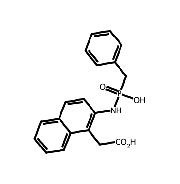 O=C(O)Cc1c(NP(=O)(O)Cc2ccccc2)ccc2ccccc12